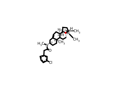 C[C@H]1[C@H]2CC[C@H]3[C@@H]4CC=C5C[C@@H](N(C)C(=O)Cc6cccc(Cl)c6)CC[C@]5(C)C4CC[C@]23CN1C